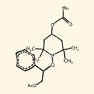 CC(=O)OCC(ON1C(C)(C)CC(OC(=O)C(C)(C)C)CC1(C)C)c1ccccc1